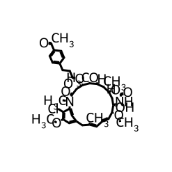 COc1cc2cc(c1Cl)N(C)C(=O)C[C@H](OC(=O)CCc1ccc(C(C)=O)cc1)[C@]1(C)O[C@H]1[C@H](C)[C@@H]1C[C@@](O)(NC(=O)O1)[C@H](OC)/C=C/C=C(\C)C2